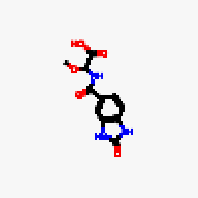 COC(NC(=O)c1ccc2[nH]c(=O)[nH]c2c1)C(=O)O